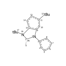 C[C@H]1N(c2ccccc2)c2cc(C(C)(C)C)ccc2N1C(C)(C)C